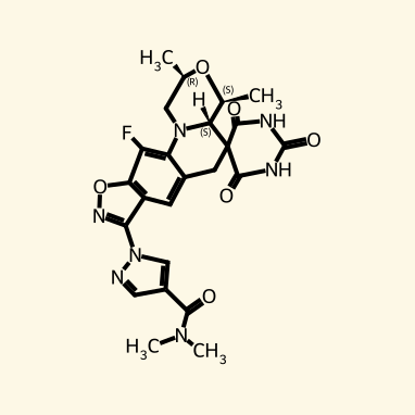 C[C@@H]1CN2c3c(cc4c(-n5cc(C(=O)N(C)C)cn5)noc4c3F)CC3(C(=O)NC(=O)NC3=O)[C@H]2[C@H](C)O1